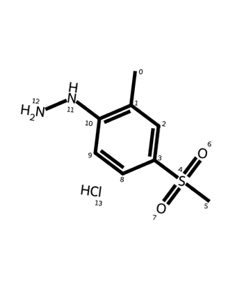 Cc1cc(S(C)(=O)=O)ccc1NN.Cl